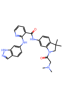 CN(C)CC(=O)N1CC(C)(C)c2ccc(NC(=O)c3cccnc3Nc3ccc4cn[nH]c4c3)cc21